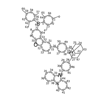 Cc1cc(C)c(B(c2ccc3oc4ccc(-c5ccc(C67CC8CC(C6)CC(c6ccc(-n9c%10ccccc%10c%10ccccc%109)cc6)(C8)C7)cc5)cc4c3c2)c2c(C)cc(C)cc2C)c(C)c1